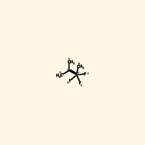 CC(C)=S(C)(F)(F)F